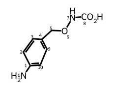 Nc1ccc(CONC(=O)O)cc1